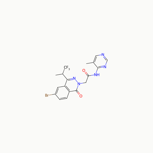 Cc1cncnc1NC(=O)Cn1nc(C(C)C(F)(F)F)c2cc(Br)ccc2c1=O